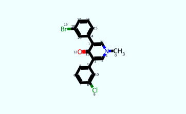 Cn1cc(-c2cccc(Cl)c2)c(=O)c(-c2cccc(Br)c2)c1